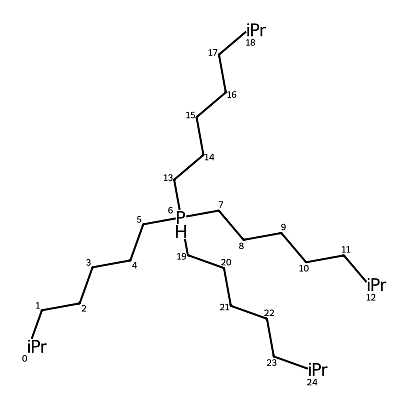 CC(C)CCCCC[PH](CCCCCC(C)C)(CCCCCC(C)C)CCCCCC(C)C